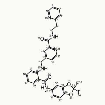 O=C(NCCc1ccccn1)c1cc(CNc2ccccc2C(=O)Nc2ccc3c(c2)OC(F)(F)O3)ccn1